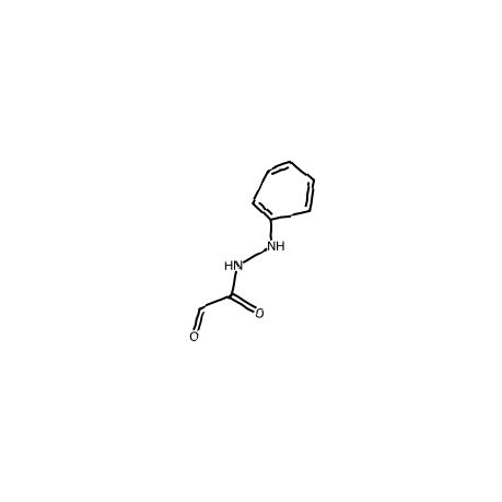 O=CC(=O)NNc1ccccc1